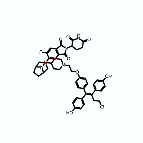 O=C1CCC(N2C(=O)c3cc(F)c(N4CC5CCC(C4)N5CC4CCN(CCOc5ccc(C(=C(CCCl)c6ccc(O)cc6)c6ccc(O)cc6)cc5)CC4)cc3C2=O)C(=O)N1